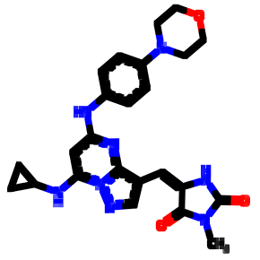 CN1C(=O)N/C(=C/c2cnn3c(NC4CC4)cc(Nc4ccc(N5CCOCC5)cc4)nc23)C1=O